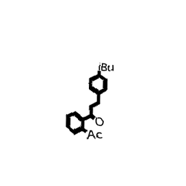 CCC(C)c1ccc(CCC(=O)c2ccccc2C(C)=O)cc1